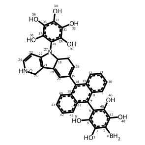 Bc1c(O)c(O)c(-c2c3ccccc3c(C3=CCC4C(=C3)C3=C(C=CNC3)N4c3c(O)c(O)c(O)c(O)c3O)c3ccccc23)c(O)c1O